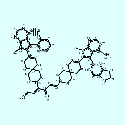 Cn1c(C2=CCC3(CC2)CCN(C=CC(=O)C(=CC=O)N2CCC4(CC=C(c5c(-c6ncccc6F)c6c(N)ncnc6n5C)CC4)CC2)CC3)c(-c2ncc3c(n2)CCO3)c2c(N)ncnc21